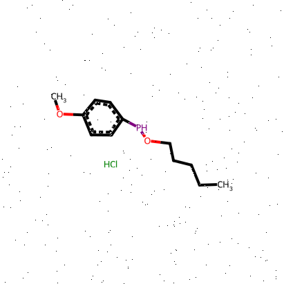 CCCCCOPc1ccc(OC)cc1.Cl